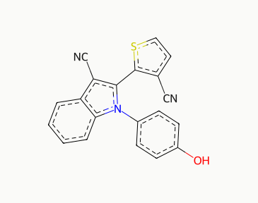 N#Cc1ccsc1-c1c(C#N)c2ccccc2n1-c1ccc(O)cc1